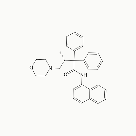 C[C@@H](CN1CCOCC1)C(C(=O)Nc1cccc2ccccc12)(c1ccccc1)c1ccccc1